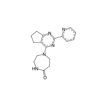 O=C1CCN(c2nc(-c3ccccn3)nc3c2CCC3)CCN1